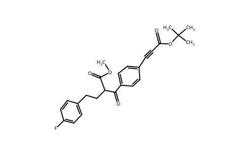 COC(=O)C(CCc1ccc(F)cc1)C(=O)c1ccc(C#CC(=O)OC(C)(C)C)cc1